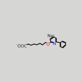 O=C([O-])CCCCCCCOc1cccc(-c2ccccc2)n1.[Na+]